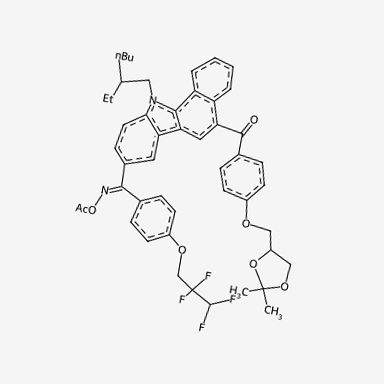 CCCCC(CC)Cn1c2ccc(/C(=N/OC(C)=O)c3ccc(OCC(F)(F)C(F)F)cc3)cc2c2cc(C(=O)c3ccc(OCC4COC(C)(C)O4)cc3)c3ccccc3c21